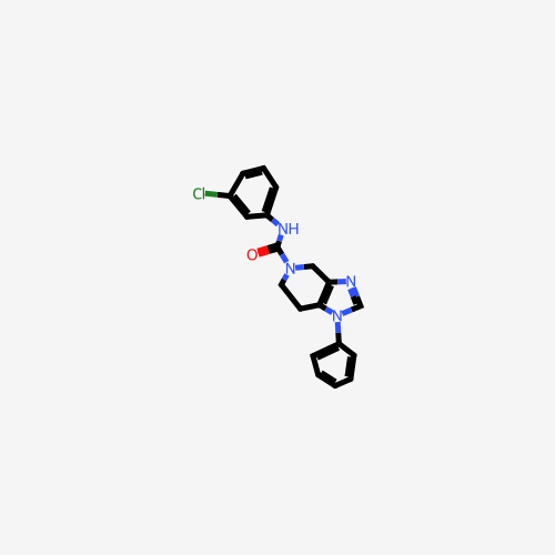 O=C(Nc1cccc(Cl)c1)N1CCc2c(ncn2-c2ccccc2)C1